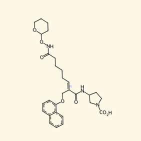 O=C(CCCC/C=C(\COc1cccc2ccccc12)C(=O)NC1CCN(C(=O)O)C1)NOC1CCCCO1